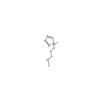 COCCC[N+]1(C)C=CC=C1